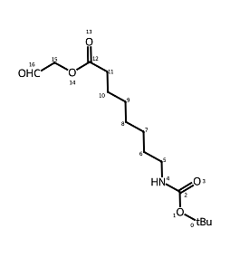 CC(C)(C)OC(=O)NCCCCCCCC(=O)OCC=O